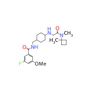 COc1cc(F)cc(C(=O)NCC2CCC(NCC(=O)N(C)C3(C)CCC3)CC2)c1